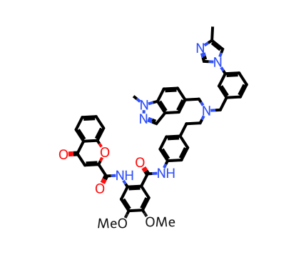 COc1cc(NC(=O)c2cc(=O)c3ccccc3o2)c(C(=O)Nc2ccc(CCN(Cc3cccc(-n4cnc(C)c4)c3)Cc3ccc4c(cnn4C)c3)cc2)cc1OC